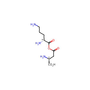 NCCC[C@@H](N)C(=O)OC(=O)C[C@H](N)C(=O)O